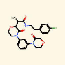 CC(=O)OC(C(=O)NCCc1ccc(Cl)cc1)C1OCCN(c2cccc(N3CCOCC3=O)c2)C1=O